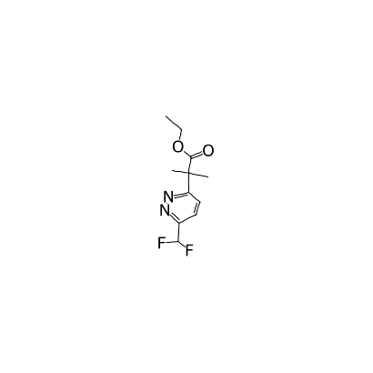 CCOC(=O)C(C)(C)c1ccc(C(F)F)nn1